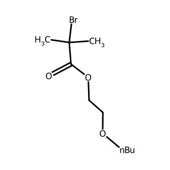 CCCCOCCOC(=O)C(C)(C)Br